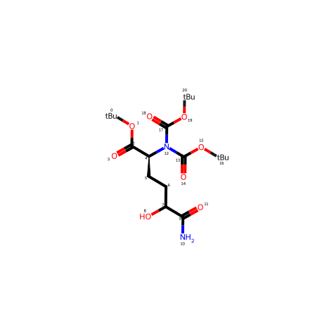 CC(C)(C)OC(=O)[C@H](CCC(O)C(N)=O)N(C(=O)OC(C)(C)C)C(=O)OC(C)(C)C